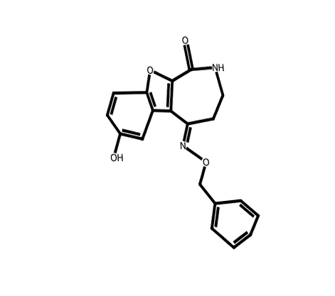 O=C1NCCC(=NOCc2ccccc2)c2c1oc1ccc(O)cc21